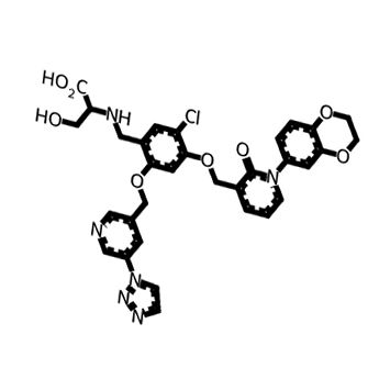 O=C(O)C(CO)NCc1cc(Cl)c(OCc2cccn(-c3ccc4c(c3)OCCO4)c2=O)cc1OCc1cncc(-n2ccnn2)c1